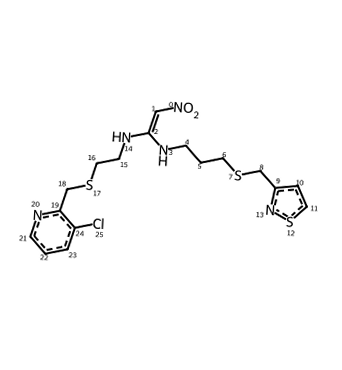 O=[N+]([O-])C=C(NCCCSCc1ccsn1)NCCSCc1ncccc1Cl